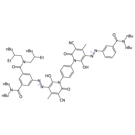 CCCCC(CC)CN(CC(CC)CCCC)C(=O)c1cc(/N=N/c2c(C)c(C#N)c(=O)n(-c3ccc(-n4c(O)c(/N=N/c5cccc(C(=O)N(CCCC)CCCC)c5)c(C)c(C#N)c4=O)cc3)c2O)cc(C(=O)N(CCCC)CCCC)c1